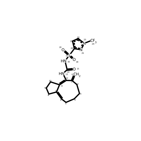 C=C1CCCC/C=C2/CCC/C2=C/1NC(=O)NS(=O)(=O)c1ccn(C(F)(F)F)n1